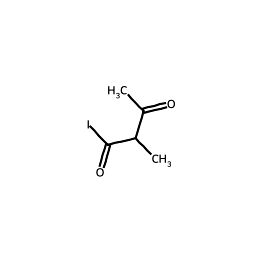 CC(=O)C(C)C(=O)I